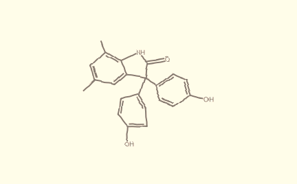 Cc1cc(C)c2c(c1)C(c1ccc(O)cc1)(c1ccc(O)cc1)C(=O)N2